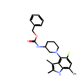 Cc1[nH]c2c(C#N)cc(F)c(N3CCCC(NC(=O)OCc4ccccc4)C3)c2c1C